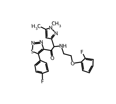 Cc1cc(C(NCCOc2ccccc2F)C(=O)c2nnsc2-c2ccc(F)cc2)nn1C